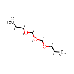 CCC(C)CCOCOCOCCC(C)CC